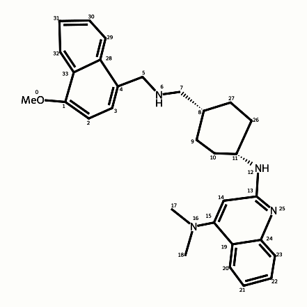 COc1ccc(CNC[C@H]2CC[C@@H](Nc3cc(N(C)C)c4ccccc4n3)CC2)c2ccccc12